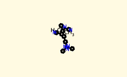 Cc1c2c(-c3ccncc3)nc3ccccc3c2c(C)c2c(-c3ccncc3)cc3cc(-c4ccc(-c5nc(-c6ccccc6)nc(-c6ccccc6)n5)cc4)ccc3c12